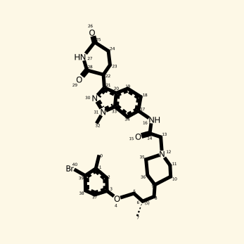 Cc1cc(OC[C@@H](C)CC2CCN(CC(=O)Nc3ccc4c(C5CCC(=O)NC5=O)nn(C)c4c3)CC2)ccc1Br